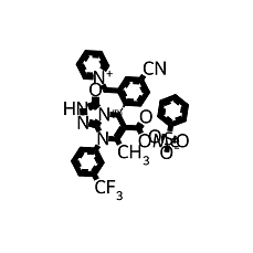 COC(=O)C1=C(C)N(c2cccc(C(F)(F)F)c2)c2n[nH]c(=O)n2[C@@H]1c1ccc(C#N)cc1C[n+]1ccccc1.O=S(=O)([O-])c1ccccc1